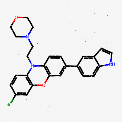 Brc1ccc2c(c1)Oc1cc(-c3ccc4[nH]ccc4c3)ccc1N2CCN1CCOCC1